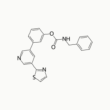 O=C(NCc1ccccc1)Oc1cccc(-c2cncc(-c3nccs3)c2)c1